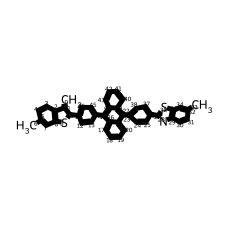 C=C1c2ccc(C)cc2SC1c1ccc(-c2c3ccccc3c(-c3ccc(-c4nc5ccc(C)cc5s4)cc3)c3ccccc23)cc1